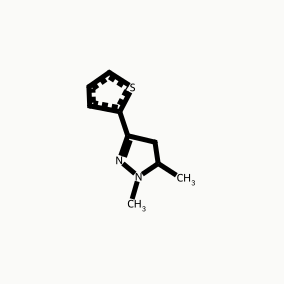 CC1CC(c2cccs2)=NN1C